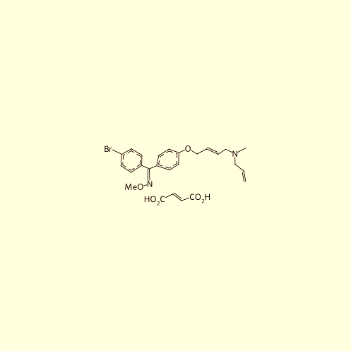 C=CCN(C)C/C=C/COc1ccc(/C(=N/OC)c2ccc(Br)cc2)cc1.O=C(O)/C=C/C(=O)O